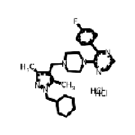 Cc1nn(CC2CCCCC2)c(C)c1CN1CCN(c2nccnc2-c2ccc(F)cc2)CC1.Cl.Cl